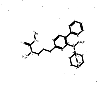 CN(CCCc1ccc(-c2ccccc2)c(N(C(=O)O)C23CCN(CC2)CC3)c1)C(=O)OC(C)(C)C